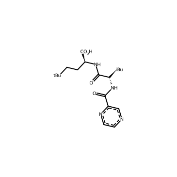 CC[C@H](C)[C@H](NC(=O)c1cnccn1)C(=O)N[C@@H](CCC(C)(C)C)C(=O)O